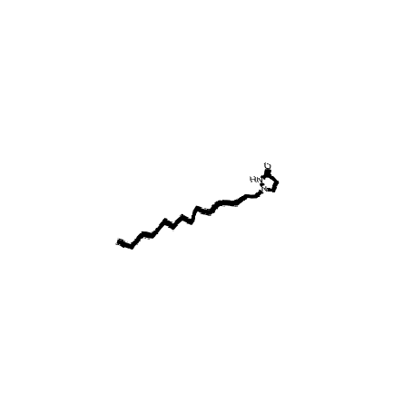 CCCCCCCCCCCCCCN1CCC(=O)N1